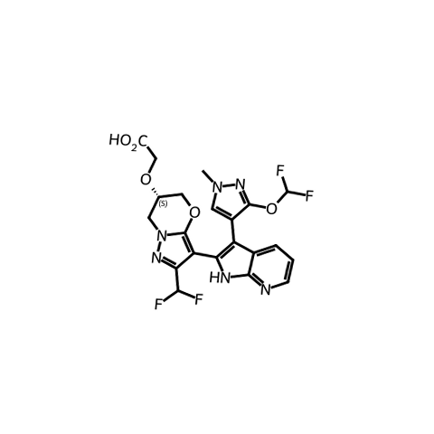 Cn1cc(-c2c(-c3c(C(F)F)nn4c3OC[C@@H](OCC(=O)O)C4)[nH]c3ncccc23)c(OC(F)F)n1